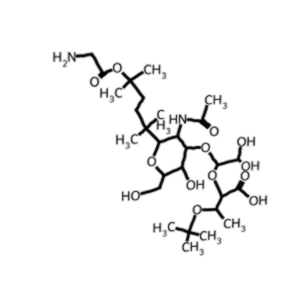 CC(=O)NC1C(OC(OC(C(=O)O)C(C)OC(C)(C)C)C(O)O)C(O)C(CO)OC1C(C)(C)CCC(C)(C)OC(=O)CN